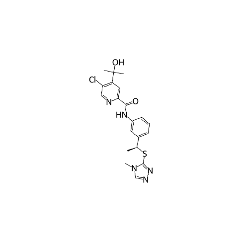 C[C@H](Sc1nncn1C)c1cccc(NC(=O)c2cc(C(C)(C)O)c(Cl)cn2)c1